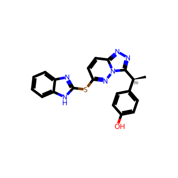 C[C@@H](c1ccc(O)cc1)c1nnc2ccc(Sc3nc4ccccc4[nH]3)nn12